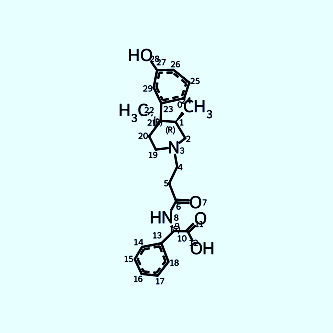 C[C@H]1CN(CCC(=O)N[C@H](C(=O)O)c2ccccc2)CC[C@@]1(C)c1cccc(O)c1